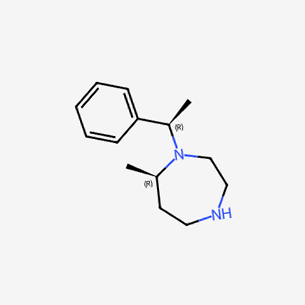 C[C@@H]1CCNCCN1[C@H](C)c1ccccc1